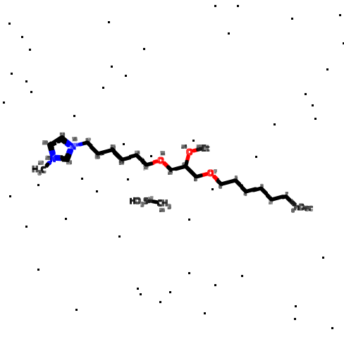 CCCCCCCCCCCCCCCCOCC(COCCCCCC[n+]1ccn(C)c1)OCC.CS(=O)(=O)O